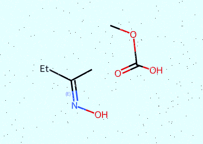 CC/C(C)=N/O.COC(=O)O